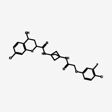 O=C(COc1ccc(Cl)c(F)c1)NC12CC(NC(=O)C3CC(O)c4ccc(Cl)cc4O3)(C1)C2